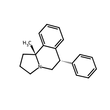 C[C@]12CCCN1C[C@@H](c1ccccc1)c1ccccc12